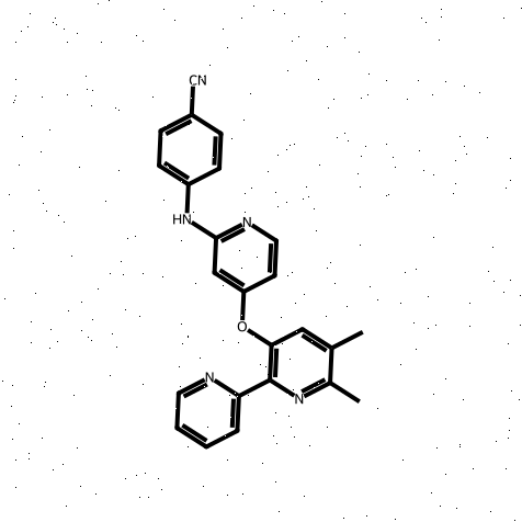 Cc1cc(Oc2ccnc(Nc3ccc(C#N)cc3)c2)c(-c2ccccn2)nc1C